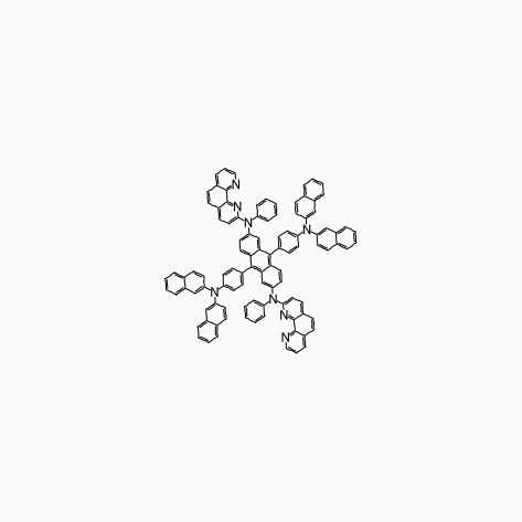 c1ccc(N(c2ccc3c(-c4ccc(N(c5ccc6ccccc6c5)c5ccc6ccccc6c5)cc4)c4cc(N(c5ccccc5)c5ccc6ccc7cccnc7c6n5)ccc4c(-c4ccc(N(c5ccc6ccccc6c5)c5ccc6ccccc6c5)cc4)c3c2)c2ccc3ccc4cccnc4c3n2)cc1